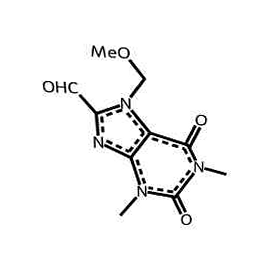 COCn1c(C=O)nc2c1c(=O)n(C)c(=O)n2C